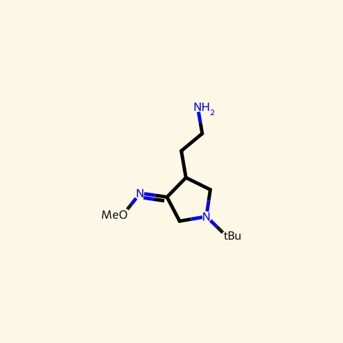 CO/N=C1\CN(C(C)(C)C)CC1CCN